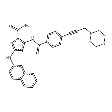 NC(=O)c1nc(Nc2ccc3ccccc3c2)sc1NC(=O)c1ccc(C#CCN2CCOCC2)cc1